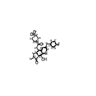 CN1Cc2c(c(O)c3ncc(Cc4ccc(F)cc4)cc3c2CC(=O)N2CCS(=O)(=O)CC2)C1=O